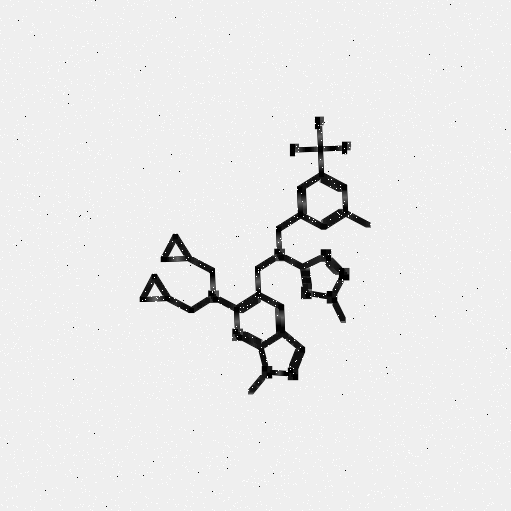 Cc1cc(CN(Cc2cc3cnn(C)c3nc2N(CC2CC2)CC2CC2)c2nnn(C)n2)cc(C(F)(F)F)c1